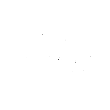 CC1(F)CCC(n2ncc3c(=O)[nH]c([C@@H]4CC[C@H]4c4cn5ccccc5n4)nc32)CC1